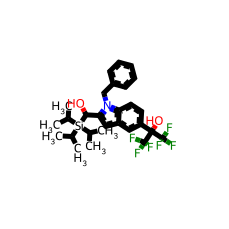 CC(C)[Si](C(C)C)(C(C)C)C(O)c1cc2cc(C(O)(C(F)(F)F)C(F)(F)F)ccc2n1Cc1ccccc1